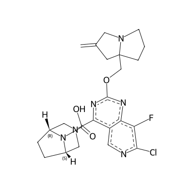 C=C1CN2CCCC2(COc2nc(N3C[C@H]4CC[C@@H](C3)N4C(=O)O)c3cnc(Cl)c(F)c3n2)C1